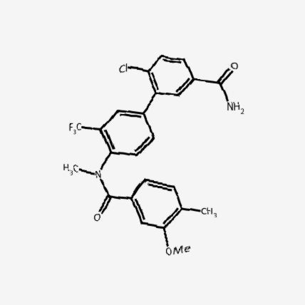 COc1cc(C(=O)N(C)c2ccc(-c3cc(C(N)=O)ccc3Cl)cc2C(F)(F)F)ccc1C